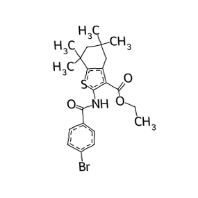 CCOC(=O)c1c(NC(=O)c2ccc(Br)cc2)sc2c1CC(C)(C)CC2(C)C